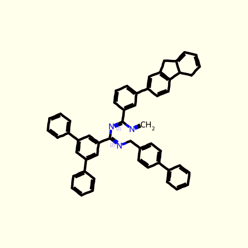 C=N/C(=N\C(=N/Cc1ccc(-c2ccccc2)cc1)c1cc(-c2ccccc2)cc(-c2ccccc2)c1)c1cccc(-c2ccc3c(c2)CC2=CC=CCC23)c1